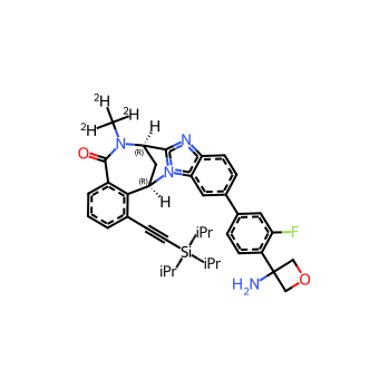 [2H]C([2H])([2H])N1C(=O)c2cccc(C#C[Si](C(C)C)(C(C)C)C(C)C)c2[C@H]2C[C@@H]1c1nc3ccc(-c4ccc(C5(N)COC5)c(F)c4)cc3n12